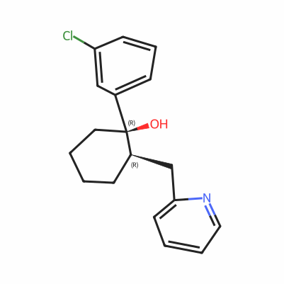 O[C@]1(c2cccc(Cl)c2)CCCC[C@@H]1Cc1ccccn1